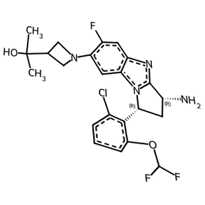 CC(C)(O)C1CN(c2cc3c(cc2F)nc2n3[C@@H](c3c(Cl)cccc3OC(F)F)C[C@H]2N)C1